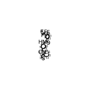 O=C(Nc1ccc(C(=O)N2CCCCc3sccc32)cc1)c1ccc(F)c(C(F)(F)F)c1